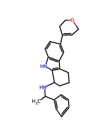 CC(NC1CCCc2c1[nH]c1ccc(C3=CCOCC3)cc21)c1ccccc1